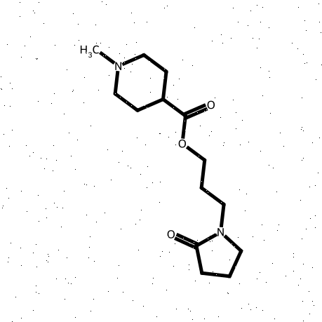 CN1CCC(C(=O)OCCCN2CCCC2=O)CC1